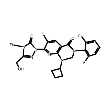 CCn1c(CO)nn(-c2nc3c(cc2F)C(=O)N(c2c(F)cccc2Cl)CN3C2CCC2)c1=O